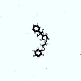 FC(F)(c1ccccc1)C1CCN(CCOc2ccccc2)C1